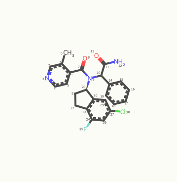 Cc1cnccc1C(=O)N(C(C(N)=O)c1ccccc1)[C@@H]1CCc2c(F)cc(Cl)cc21